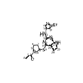 C=CC(=O)N1CCC[C@@H](Sc2nc(Nc3cnn(CC)c3)nc3[nH]ccc23)C1